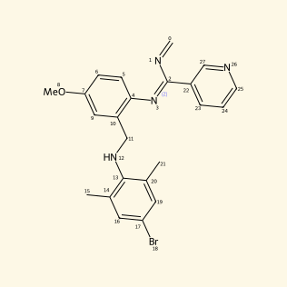 C=N/C(=N\c1ccc(OC)cc1CNc1c(C)cc(Br)cc1C)c1cccnc1